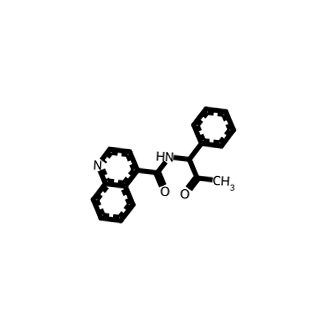 CC(=O)C(NC(=O)c1ccnc2ccccc12)c1ccccc1